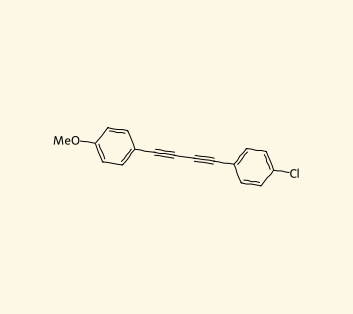 COc1ccc(C#CC#Cc2ccc(Cl)cc2)cc1